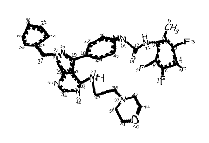 Cc1c(F)c(F)c(F)c(F)c1NC(=S)Nc1ccc(-c2nn(Cc3ccccc3)c3ncnc(NCCN4CCOCC4)c23)cc1